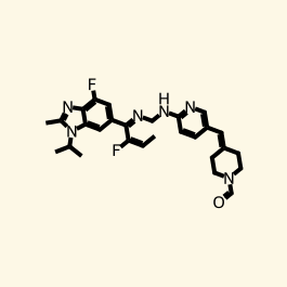 C/C=C(F)\C(=N/CNc1ccc(C=C2CCN(C=O)CC2)cn1)c1cc(F)c2nc(C)n(C(C)C)c2c1